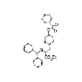 CCOC(=O)C(Cc1ccc(OS(=O)(=O)c2ccccc2)cn1)N=C(c1ccccc1)c1ccccc1